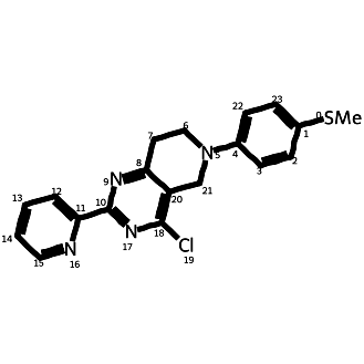 CSc1ccc(N2CCc3nc(-c4ccccn4)nc(Cl)c3C2)cc1